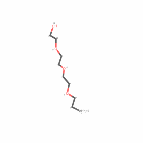 CCCCCCCCCOCCOCCOCCO